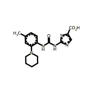 Cc1ccc(NC(=O)Nc2ncc(C(=O)O)s2)c(N2CCCCC2)c1